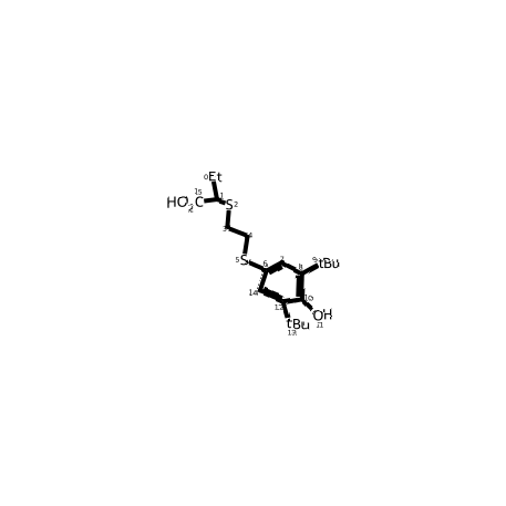 CCC(SCCSc1cc(C(C)(C)C)c(O)c(C(C)(C)C)c1)C(=O)O